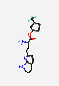 NC(CCc1ccc2c(n1)NCCC2)C(=O)Oc1cccc(C(F)(F)F)c1